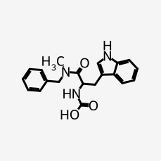 CN(Cc1ccccc1)C(=O)C(Cc1c[nH]c2ccccc12)NC(=O)O